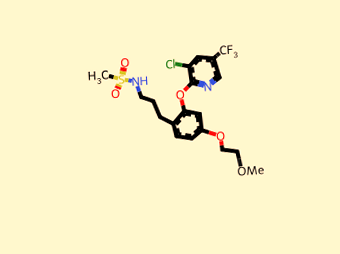 COCCOc1ccc(CCCNS(C)(=O)=O)c(Oc2ncc(C(F)(F)F)cc2Cl)c1